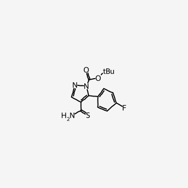 CC(C)(C)OC(=O)n1ncc(C(N)=S)c1-c1ccc(F)cc1